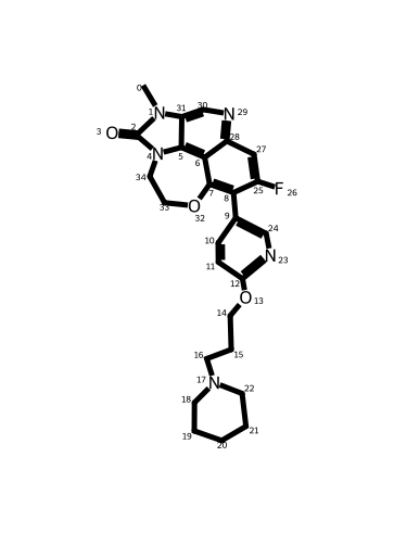 Cn1c(=O)n2c3c4c(c(-c5ccc(OCCCN6CCCCC6)nc5)c(F)cc4ncc31)OCC2